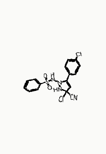 N#CC1(Cl)C=C(c2ccc(Cl)cc2)N(NS(=O)(=O)c2ccccc2)N1